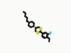 CCCCC[C@H]1CC[C@H](C2CSC(c3ccc(CC)c(F)c3)SC2)CC1